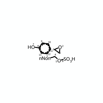 C1CO1.CCCCCCCCCCOS(=O)(=O)O.Oc1ccccc1